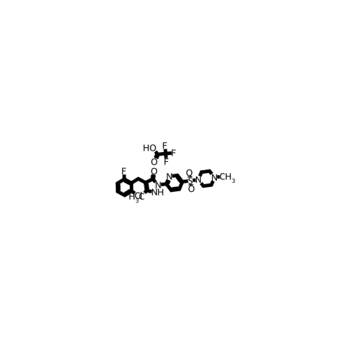 Cc1[nH]n(-c2ccc(S(=O)(=O)N3CCN(C)CC3)cn2)c(=O)c1Cc1c(F)cccc1Cl.O=C(O)C(F)(F)F